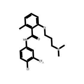 Cc1cccc(OCCCN(C)C)c1C(=O)Nc1ccc(Cl)c(C(F)(F)F)c1